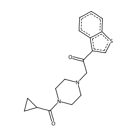 O=C(CN1CCN(C(=O)C2CC2)CC1)c1csc2ccccc12